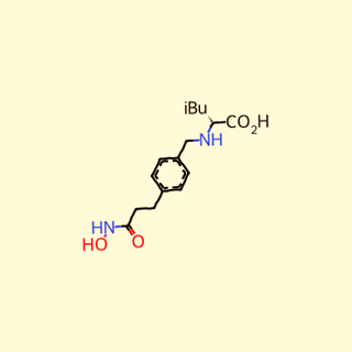 CC[C@@H](C)C(NCc1ccc(CCC(=O)NO)cc1)C(=O)O